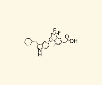 Cc1cc(CC(=O)O)cc(C(F)(F)F)c1Oc1ccc2[nH]cc(CC3CCCCC3)c2c1